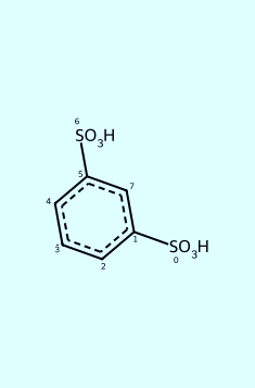 O=S(=O)(O)c1c[c]cc(S(=O)(=O)O)c1